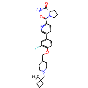 CC1(CN2CCC(COc3ccc(-c4ccc(C(=O)N5CCC[C@H]5C(N)=O)nc4)cc3F)CC2)CCC1